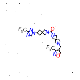 O=C(N1CC2(CC(n3cnc(C(F)(F)F)n3)C2)C1)N1CC2(CN(Cc3conc3C(F)(F)F)C2)C1